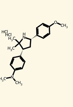 COc1ccc([C@@H]2C[C@H](c3ccc(N(C)C)cc3)C(C)(C)N2)cc1.Cl.Cl